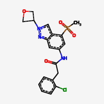 CS(=O)(=O)c1cc(NC(=O)Cc2ccccc2Cl)cc2nn(C3COC3)cc12